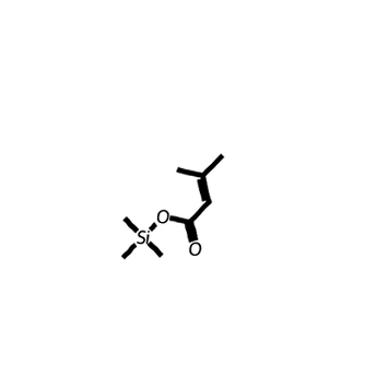 CC(C)=CC(=O)O[Si](C)(C)C